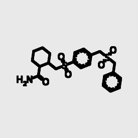 NC(=O)C1CCCCC1CS(=O)(=O)c1ccc(CS(=O)(=O)Cc2ccccc2)cc1